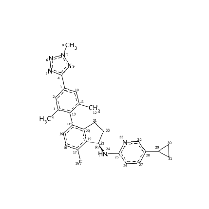 Cc1cc(-c2nnn(C)n2)cc(C)c1-c1ccc(F)c2c1CC[C@H]2Nc1ccc(C2CC2)cn1